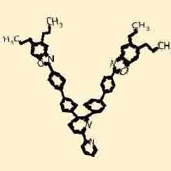 CCCc1cc2nc(-c3ccc(-c4ccc(-c5ccc(-c6ccccn6)nc5-c5ccc(-c6ccc(-c7nc8cc(CCC)c(CCC)cc8o7)cc6)cc5)cc4)cc3)oc2cc1CCC